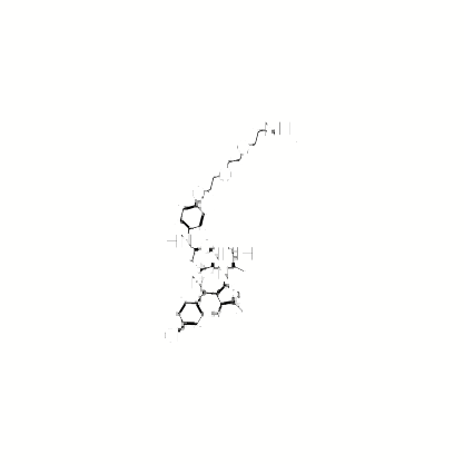 CC(=N)N1C(=N)[C@H](CC(=O)Nc2ccc(OCCOCCOCCN)cc2)N=C(c2ccc(Cl)cc2)c2c1sc(C)c2C